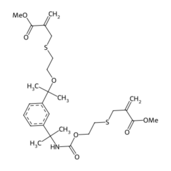 C=C(CSCCOC(=O)NC(C)(C)c1cccc(C(C)(C)OCCSCC(=C)C(=O)OC)c1)C(=O)OC